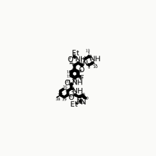 CCC(=O)N[C@@H](C(=O)N1C[C@@H](C)N[C@@H](C)C1)[C@@H](C)c1ccc(NC(=O)[C@@H](NC(=O)c2ccnn2CC)[C@H]2CC[C@H](C)CC2)c(F)c1